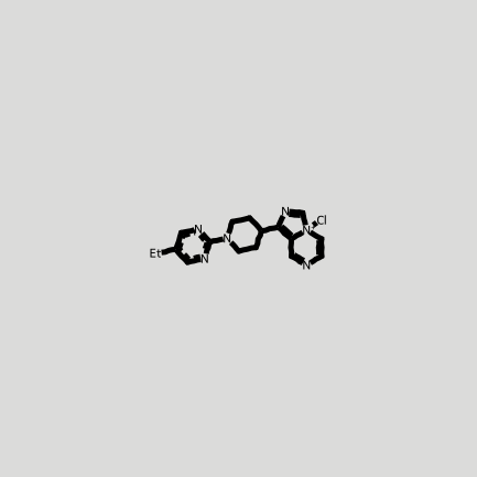 CCc1cnc(N2CCC(C3=C4C=NC=C[N+]4(Cl)C=N3)CC2)nc1